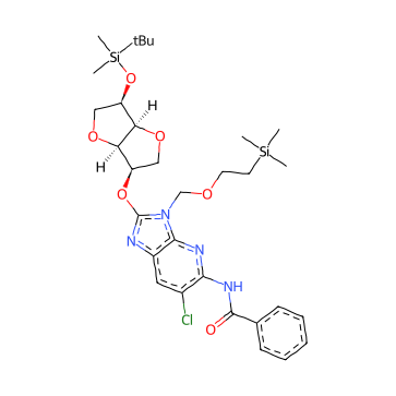 CC(C)(C)[Si](C)(C)O[C@@H]1CO[C@H]2[C@@H]1OC[C@H]2Oc1nc2cc(Cl)c(NC(=O)c3ccccc3)nc2n1COCC[Si](C)(C)C